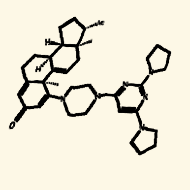 CC(=O)[C@H]1CC[C@H]2[C@@H]3CCC4=CC(=O)C=C(N5CCN(c6cc(N7CCCC7)nc(N7CCCC7)n6)CC5)[C@]4(C)C3=CC[C@]12C